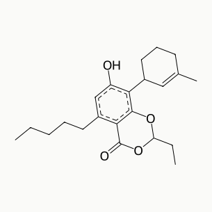 CCCCCc1cc(O)c(C2C=C(C)CCC2)c2c1C(=O)OC(CC)O2